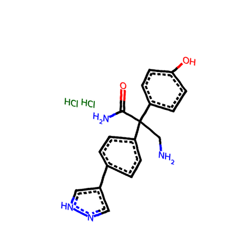 Cl.Cl.NCC(C(N)=O)(c1ccc(O)cc1)c1ccc(-c2cn[nH]c2)cc1